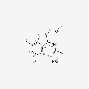 Br.COCC1Cc2c(C)cc(C)cc2N1NC(C)=O